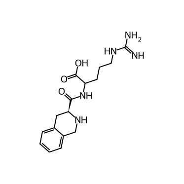 N=C(N)NCCCC(NC(=O)[C@@H]1Cc2ccccc2CN1)C(=O)O